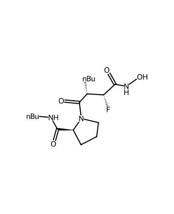 CCCCNC(=O)[C@@H]1CCCN1C(=O)[C@H](CCCC)[C@@H](F)C(=O)NO